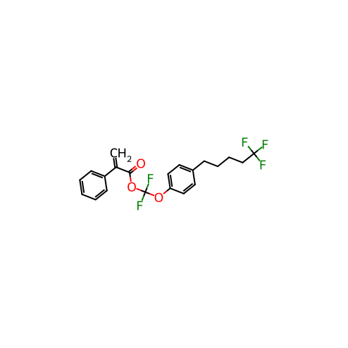 C=C(C(=O)OC(F)(F)Oc1ccc(CCCCC(F)(F)F)cc1)c1ccccc1